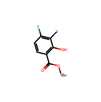 CC(C)(C)OC(=O)c1ccc(F)c(I)c1O